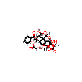 CC(=O)Oc1ccccc1C(=O)O[C@H]1C(=O)O[C@H]2O[C@]34C(=O)OC5C[C@@H](C(C)(C)C)C21[C@@]53[C@@H](O)[C@@H]1OC(=O)[C@@H](C)[C@@]14O